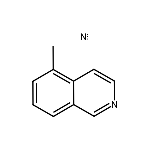 Cc1cccc2cnccc12.[N]